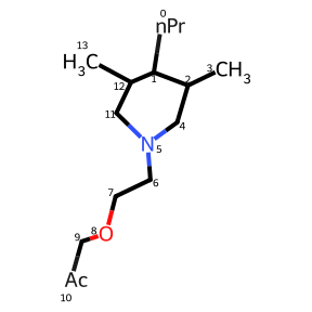 CCCC1C(C)CN(CCOCC(C)=O)CC1C